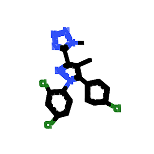 Cc1c(-c2nnnn2C)nn(-c2ccc(Cl)cc2Cl)c1-c1ccc(Cl)cc1